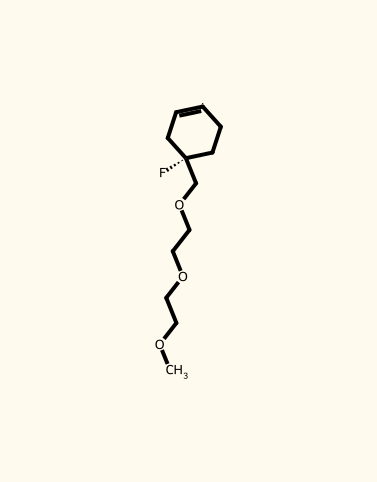 COCCOCCOC[C@@]1(F)CC=[C]CC1